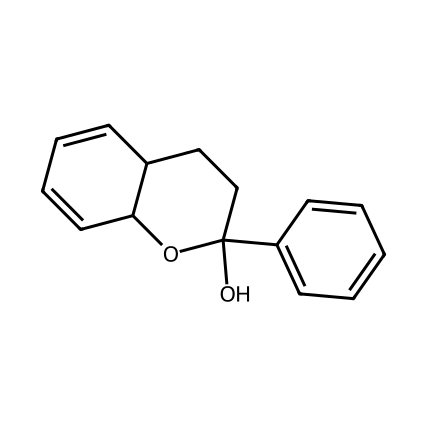 OC1(c2ccccc2)CCC2C=CC=CC2O1